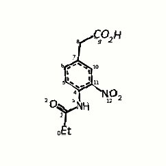 CCC(=O)Nc1ccc(CC(=O)O)cc1[N+](=O)[O-]